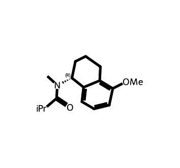 COc1cccc2c1CCC[C@H]2N(C)C(=O)C(C)C